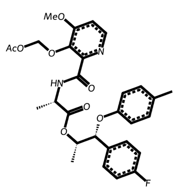 COc1ccnc(C(=O)N[C@@H](C)C(=O)O[C@@H](C)[C@H](Oc2ccc(C)cc2)c2ccc(F)cc2)c1OCOC(C)=O